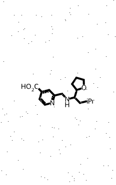 CC(C)CC(NCc1cc(C(=O)O)ccn1)C1CCCO1